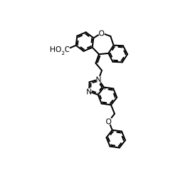 O=C(O)c1ccc2c(c1)/C(=C/Cn1cnc3cc(COc4ccccc4)ccc31)c1ccccc1CO2